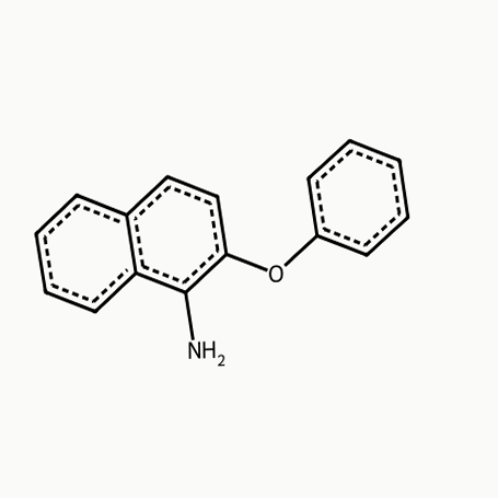 Nc1c(Oc2ccccc2)ccc2ccccc12